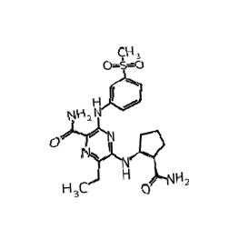 CCc1nc(C(N)=O)c(Nc2cccc(S(C)(=O)=O)c2)nc1N[C@H]1CCC[C@H]1C(N)=O